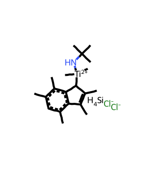 CC1=C(C)[CH]([Ti+2]([CH3])([CH3])[NH]C(C)(C)C)c2c(C)c(C)cc(C)c21.[Cl-].[Cl-].[SiH4]